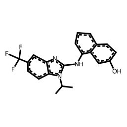 CC(C)n1c(Nc2cccc3ccc(O)cc23)nc2cc(C(F)(F)F)ccc21